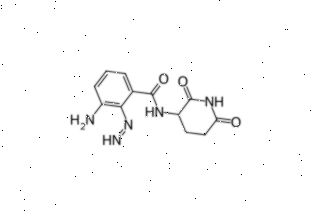 N=Nc1c(N)cccc1C(=O)NC1CCC(=O)NC1=O